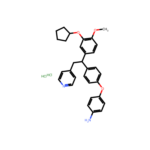 COc1ccc(C(Cc2ccncc2)c2ccc(Oc3ccc(N)cc3)cc2)cc1OC1CCCC1.Cl.Cl